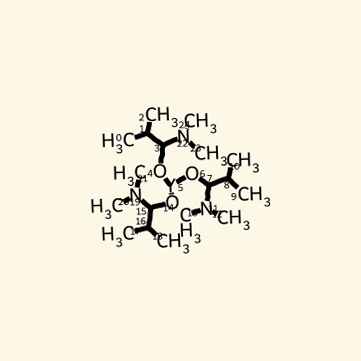 CC(C)C([O][Y]([O]C(C(C)C)N(C)C)[O]C(C(C)C)N(C)C)N(C)C